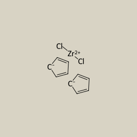 [Cl][Zr+2][Cl].c1cc[cH-]c1.c1cc[cH-]c1